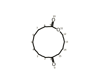 O=C1CCCCCCCC(=O)OCCCC1